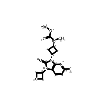 CN(C(=O)OC(C)(C)C)[C@H]1C[C@H](n2c(=O)n(C3COC3)c3ccc(Cl)nc32)C1